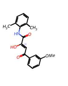 COc1cccc(C(=O)/C=C(\O)C(=O)Nc2c(C)cccc2C)c1